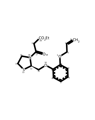 C=CCOc1ccccc1OC[C@H]1SCCN1C(=O)CC(=O)OCC